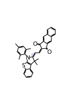 Cc1cc(C)c(N2/C(=C/C=C3C(=O)c4cc5ccccc5cc4C3=O)C(C)(C)c3c2sc2ccccc32)c(C)c1